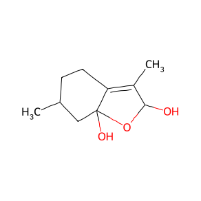 CC1=C2CCC(C)CC2(O)OC1O